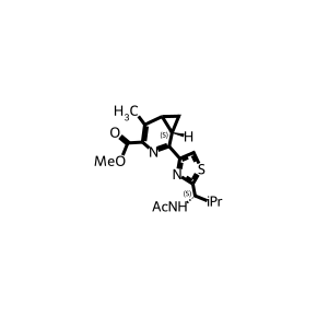 COC(=O)C1=C(C)C2C[C@@H]2C(c2csc([C@@H](NC(C)=O)C(C)C)n2)=N1